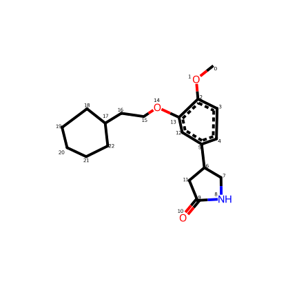 COc1ccc(C2CNC(=O)C2)cc1OCCC1CCCCC1